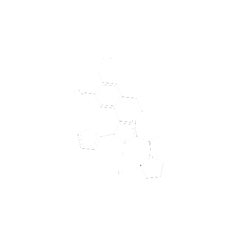 COc1cc2c(cc1N)-c1c(-c3cccs3)cc(C(=O)N3CCCC3(C)C)n1CC2